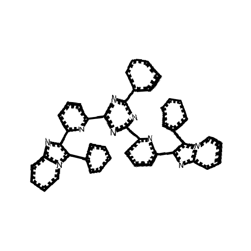 c1ccc(-c2nc(-c3cccc(-c4nc5ccccn5c4-c4ccccc4)n3)nc(-c3cccc(-c4nc5ccccn5c4-c4ccccc4)n3)n2)cc1